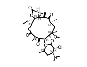 C=C1C(=O)[C@H](C)C[C@](C)(OC)[C@H](OC2O[C@H](C)C[C@H](N(C)C)[C@H]2O)[C@@H](C)C(=O)[C@@H](C)C(=O)O[C@H](CC)[C@@]2(C)OC(=O)N[C@H]12